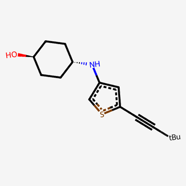 CC(C)(C)C#Cc1cc(N[C@H]2CC[C@H](O)CC2)cs1